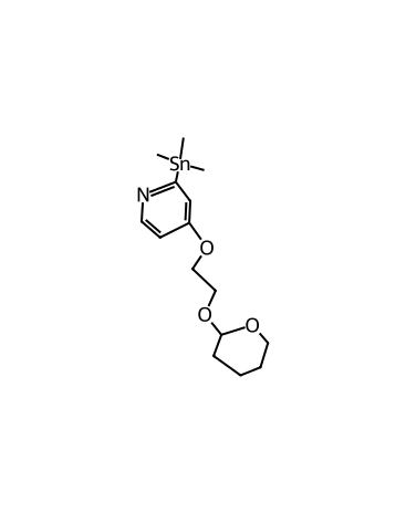 [CH3][Sn]([CH3])([CH3])[c]1cc(OCCOC2CCCCO2)ccn1